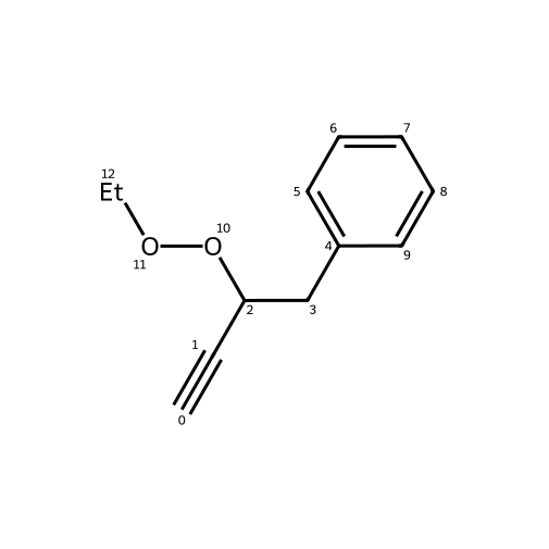 C#CC(Cc1ccccc1)OOCC